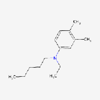 CCCCCN(CC)c1ccc(C)c(C)c1